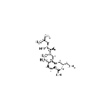 CCCCc1c(C(=O)O)ccc(N)c1CN(C)C(=O)[C@H](O)CC(C)C